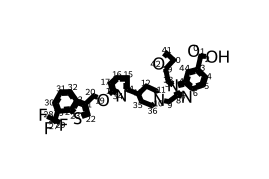 O=C(O)c1ccc2nc(CN3CCC(c4cccc(OCc5csc6c(C(F)(F)F)cccc56)n4)CC3)n(CC3CCO3)c2c1